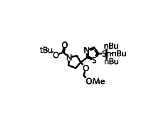 CCC[CH2][Sn]([CH2]CCC)([CH2]CCC)[c]1cnc(C2(OCOC)CCN(C(=O)OC(C)(C)C)C2)s1